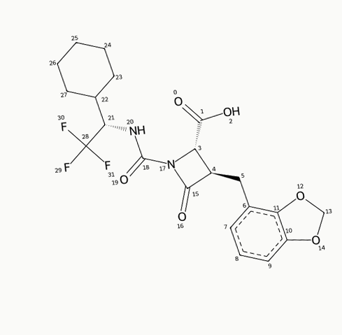 O=C(O)[C@@H]1[C@@H](Cc2cccc3c2OCO3)C(=O)N1C(=O)N[C@@H](C1CCCCC1)C(F)(F)F